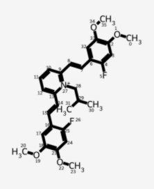 COc1cc(F)c(/C=C/c2cccc(/C=C/c3cc(OC)c(OC)cc3F)[n+]2CC(C)C)cc1OC